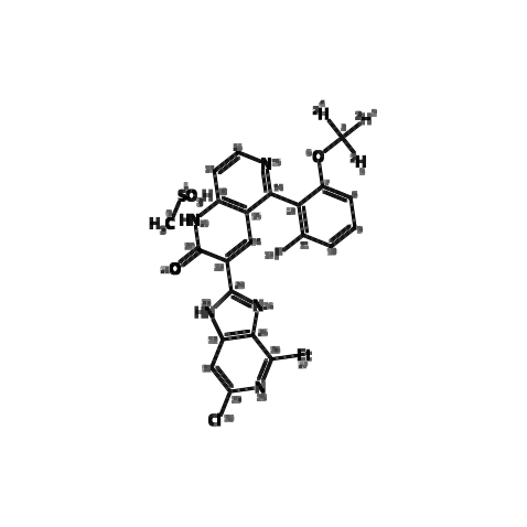 CS(=O)(=O)O.[2H]C([2H])([2H])Oc1cccc(F)c1-c1nccc2[nH]c(=O)c(-c3nc4c(CC)nc(Cl)cc4[nH]3)cc12